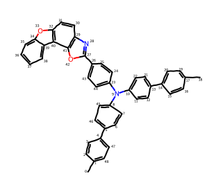 Cc1ccc(-c2ccc(N(c3ccc(-c4ccc(C)cc4)cc3)c3ccc(-c4nc5ccc6oc7ccccc7c6c5o4)cc3)cc2)cc1